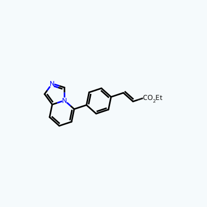 CCOC(=O)C=Cc1ccc(-c2cccc3cncn23)cc1